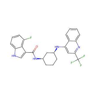 O=C(N[C@@H]1CCC[C@H](Nc2cc(C(F)(F)F)nc3ccccc23)C1)c1c[nH]c2cccc(F)c12